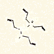 C=CCS[S+]([O-])CC=C.C=CC[SH](O)(=S)CC=C